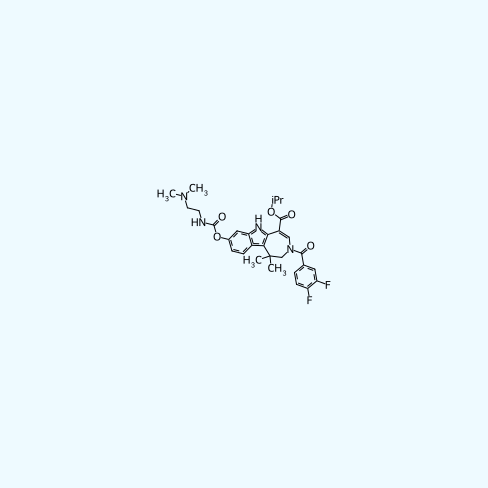 CC(C)OC(=O)C1=CN(C(=O)c2ccc(F)c(F)c2)CC(C)(C)c2c1[nH]c1cc(OC(=O)NCCN(C)C)ccc21